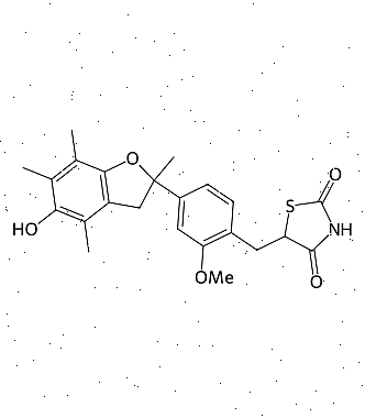 COc1cc(C2(C)Cc3c(C)c(O)c(C)c(C)c3O2)ccc1CC1SC(=O)NC1=O